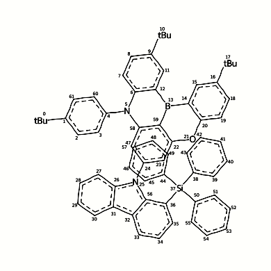 CC(C)(C)c1ccc(N2c3ccc(C(C)(C)C)cc3B3c4cc(C(C)(C)C)ccc4Oc4cc(-n5c6ccccc6c6cccc([Si](c7ccccc7)(c7ccccc7)c7ccccc7)c65)cc2c43)cc1